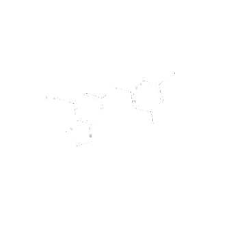 CNc1cc(Nc2cc(C)cc(C)c2)nc2c(C(=O)O)cnn12